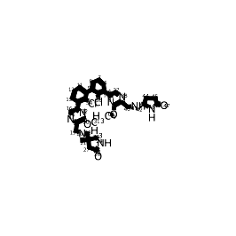 COc1nc(-c2cccc(-c3cccc(-c4cnc(CN5CC6(CNC(=O)C6)C5)c(OC)n4)c3Cl)c2Cl)cnc1CNC[C@@H]1CCC(=O)N1